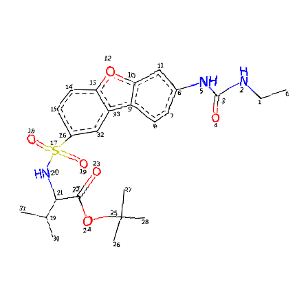 CCNC(=O)Nc1ccc2c(c1)oc1ccc(S(=O)(=O)NC(C(=O)OC(C)(C)C)C(C)C)cc12